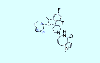 CCC1(c2c(F)cc(F)cc2C(C)CC2=C/CC/C=C/C=C\2)CCN(C2=C=CCc3c(ccn3C)C(=O)N2)CC1